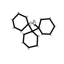 CC1(C2(C3(C)CCCCC3)CCCCC2)CCCCC1